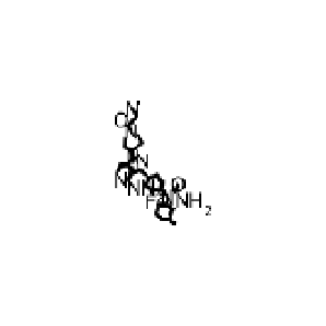 Cc1cccc(N(C(N)=O)c2ccc(-c3nn(C4CCN(C(=O)CN(C)C)CC4)c4ccnc(N)c34)cc2F)c1